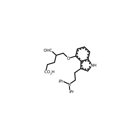 CC(C)N(CCc1c[nH]c2cccc(OCC(C=O)CCC(=O)O)c12)C(C)C